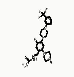 CN1CCN(c2cc(N3CCN(c4cccc(C(F)(F)F)c4)CC3)c(F)cc2C=NNC(N)=S)CC1